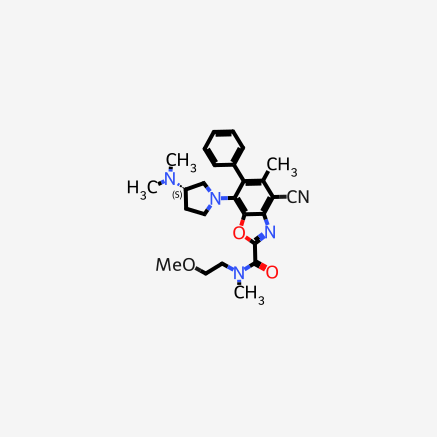 COCCN(C)C(=O)c1nc2c(C#N)c(C)c(-c3ccccc3)c(N3CC[C@H](N(C)C)C3)c2o1